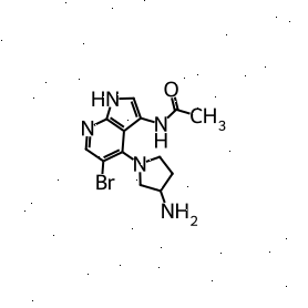 CC(=O)Nc1c[nH]c2ncc(Br)c(N3CCC(N)C3)c12